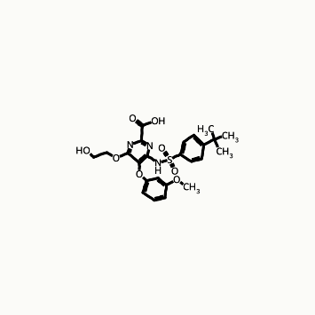 COc1cccc(Oc2c(NS(=O)(=O)c3ccc(C(C)(C)C)cc3)nc(C(=O)O)nc2OCCO)c1